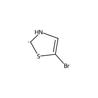 BrC1=CN[C]S1